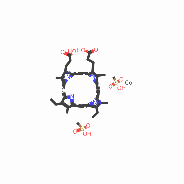 CCC1=C(C)c2cc3[nH]c(cc4nc(cc5[nH]c(cc1n2)c(C)c5CCC(=O)O)C(CCC(=O)O)=C4C)c(C)c3CC.CS(=O)(=O)O.CS(=O)(=O)O.[Co]